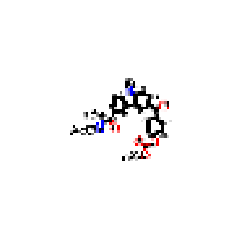 CCCC/C(=N\OC(C)=O)C(=O)c1ccc2c(c1)c1cc(C(=O)c3ccc(OC(=O)OCCC)cc3)ccc1n2CC